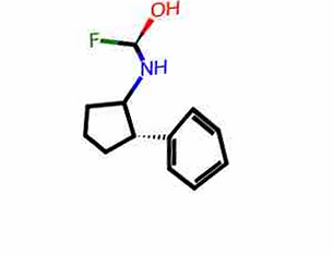 O[C@H](F)NC1CCC[C@H]1c1ccccc1